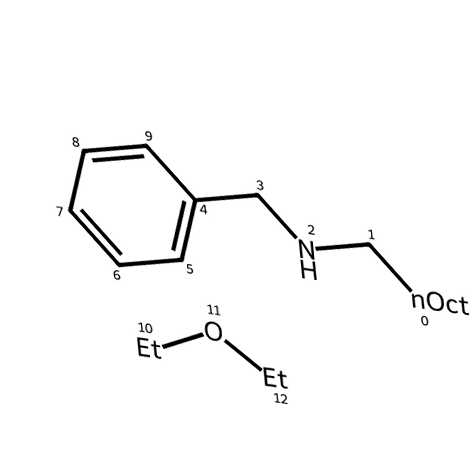 CCCCCCCCCNCc1ccccc1.CCOCC